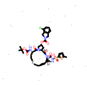 Cc1ccc(S(=O)(=O)NC(=O)[C@@]23C[C@H]2/C=C\CCCCC[C@H](NC(=O)OC(C)(C)C)C(=O)N2C[C@H](OC(=O)N4Cc5cccc(F)c5C4)C[C@H]2C(=O)N3)s1